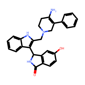 NC1=C(c2ccccc2)CN(Cc2[nH]c3ccccc3c2C2NC(=O)c3ccc(O)cc32)CC1